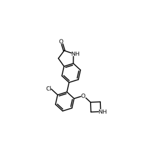 O=C1Cc2cc(-c3c(Cl)cccc3OC3CNC3)ccc2N1